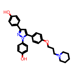 Oc1ccc(-c2cc(-c3ccc(OCCCN4CCCCC4)cc3)n(-c3ccc(O)cc3)n2)cc1